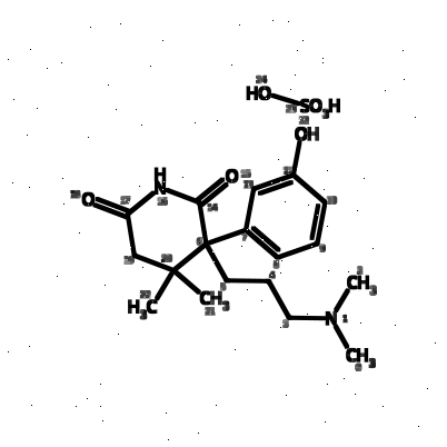 CN(C)CCCC1(c2cccc(O)c2)C(=O)NC(=O)CC1(C)C.O=S(=O)(O)O